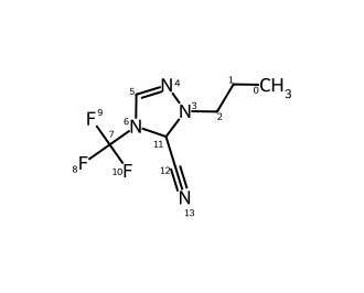 CCCN1N=CN(C(F)(F)F)C1C#N